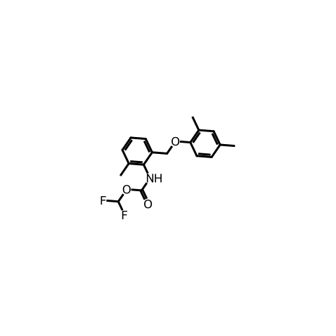 Cc1ccc(OCc2cccc(C)c2NC(=O)OC(F)F)c(C)c1